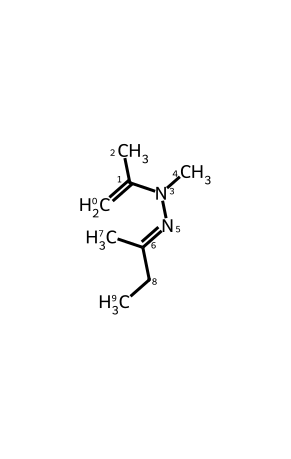 C=C(C)N(C)/N=C(\C)CC